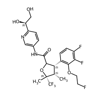 C[C@H]1[C@@H](c2ccc(F)c(F)c2OCCF)C(C(=O)Nc2ccc([C@@H](O)CO)nc2)O[C@@]1(C)C(F)(F)F